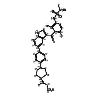 CCN(C)S(=O)(=O)Nc1ccc(F)c(C(=O)c2c[nH]c3ncc(-c4cnc(N5CCC(N(C)CC(=O)O)CC5)nc4)cc23)c1F